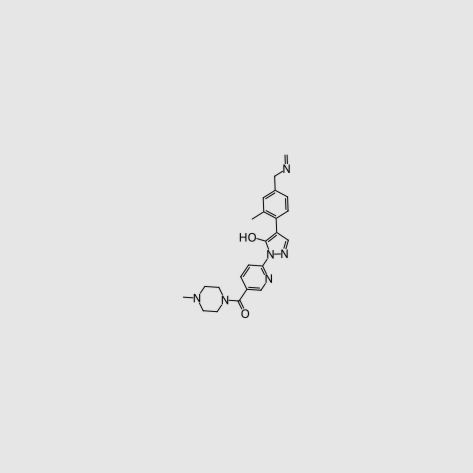 C=NCc1ccc(-c2cnn(-c3ccc(C(=O)N4CCN(C)CC4)cn3)c2O)c(C)c1